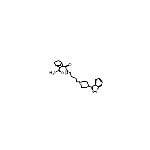 NC(=O)C1C2CCC(C2)C1C(=O)NCCCCN1CCC(c2nsc3ccccc23)CC1